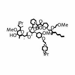 C=C/C=C/C=C(\C)C(C[C@@H]1CC[C@@H](C)[C@](O)(C(=O)C(=O)N2CCCCC2C(=O)O[C@@H](CC(=O)[C@H](C)/C=C(\C)[C@@H](O)[C@@H](OC)C(=O)[C@H](C)CC(C)C)[C@H](C)C[C@@H]2CC[C@@H](OCCN3CCN(C(C)C)CC3)[C@H](OC)C2)O1)OCCOC